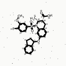 COc1cc(S(=O)(=O)N2c3cc(OC4CCc5ccccc54)ccc3C[C@@H](C(=O)O)[C@H]2C)ccc1F